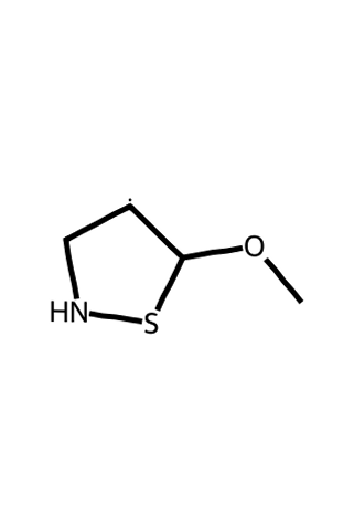 COC1[CH]CNS1